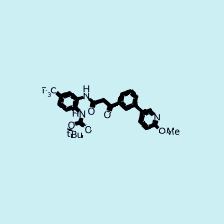 COc1ccc(-c2cccc(C(=O)CC(=O)Nc3cc(C(F)(F)F)ccc3NC(=O)OC(C)(C)C)c2)cn1